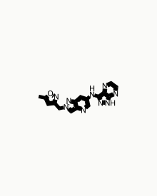 Cc1cc(Cn2cc3ncc(Nc4n[nH]c5nccnc45)cc3n2)no1